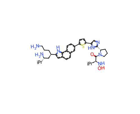 CC(C)[C@H](N)C[C@@H](CCCN)c1cc2ccc3cc(-c4ccc(-c5cnc([C@@H]6CCCN6C(=O)[C@@H](NO)C(C)C)[nH]5)s4)ccc3c2[nH]1